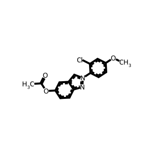 COc1ccc(-n2cc3cc(OC(C)=O)ccc3n2)c(Cl)c1